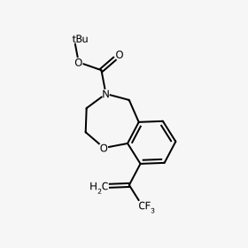 C=C(c1cccc2c1OCCN(C(=O)OC(C)(C)C)C2)C(F)(F)F